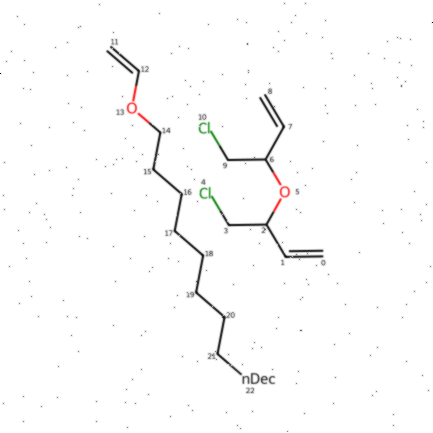 C=CC(CCl)OC(C=C)CCl.C=COCCCCCCCCCCCCCCCCCC